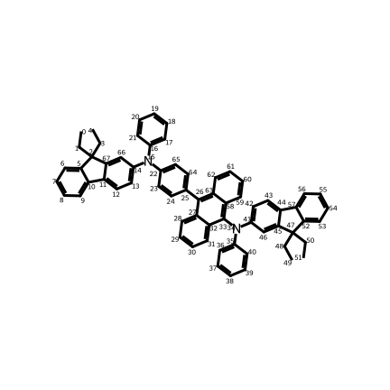 CCC1(CC)c2ccccc2-c2ccc(N(c3ccccc3)c3ccc(-c4c5ccccc5c(N(c5ccccc5)c5ccc6c(c5)C(CC)(CC)c5ccccc5-6)c5ccccc45)cc3)cc21